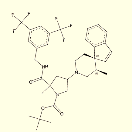 C[C@H]1CN(C2CN(C(=O)OC(C)(C)C)C(C)(C(=O)NCc3cc(C(F)(F)F)cc(C(F)(F)F)c3)C2)CC[C@@]12C=Cc1ccccc12